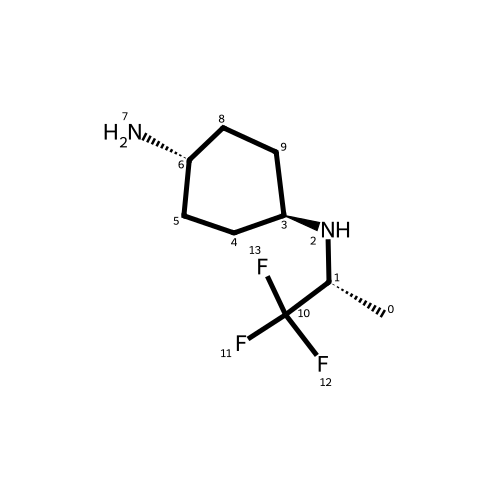 C[C@@H](N[C@H]1CC[C@H](N)CC1)C(F)(F)F